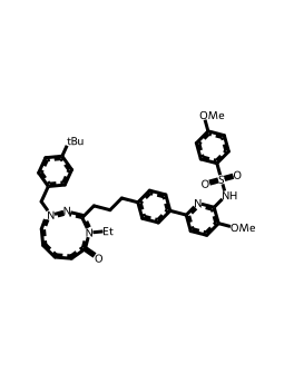 CCn1c(CCCc2ccc(-c3ccc(OC)c(NS(=O)(=O)c4ccc(OC)cc4)n3)cc2)nn(Cc2ccc(C(C)(C)C)cc2)ccccc1=O